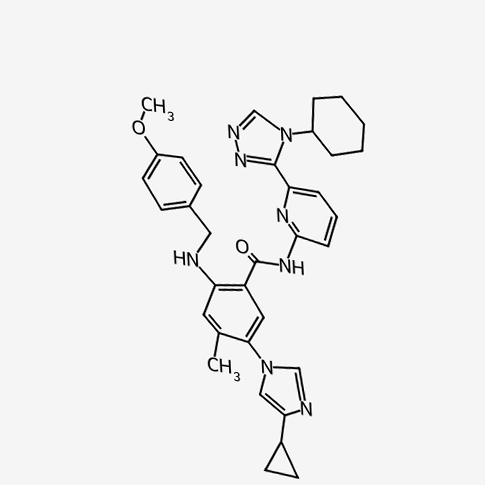 COc1ccc(CNc2cc(C)c(-n3cnc(C4CC4)c3)cc2C(=O)Nc2cccc(-c3nncn3C3CCCCC3)n2)cc1